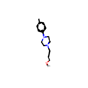 Cc1ccc(N2CCN(CCCOC(C)C)CC2)cc1